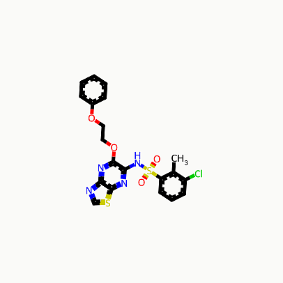 Cc1c(Cl)cccc1S(=O)(=O)Nc1nc2scnc2nc1OCCOc1ccccc1